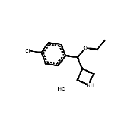 CCOC(c1ccc(Cl)cc1)C1CNC1.Cl